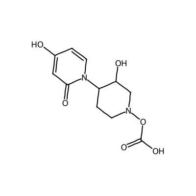 O=C(O)ON1CCC(n2ccc(O)cc2=O)C(O)C1